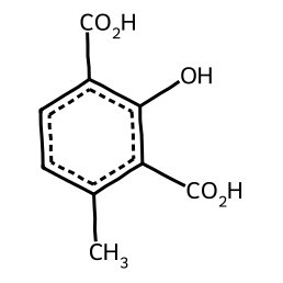 Cc1ccc(C(=O)O)c(O)c1C(=O)O